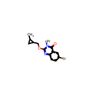 CCCn1c(OCC2CC2C)nc2ccc(Br)cc2c1=O